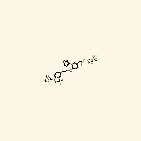 CC(C)Oc1ccc(CCCOc2ccc(CNCCCP(=O)(O)O)cc2-c2ccoc2)cc1C(F)(F)F